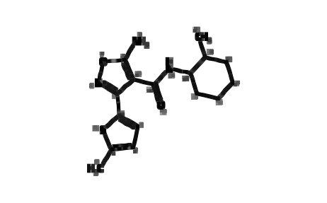 Cc1ccc(-c2noc(N)c2C(=O)NC2CCCCC2C)s1